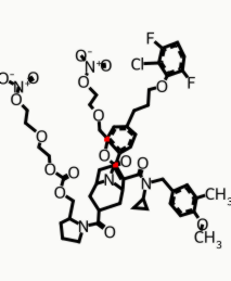 COc1ccc(CN(C(=O)C2=C(c3ccc(CCCOc4c(F)ccc(F)c4Cl)cc3)CC3CC(C(=O)N4CCCC4COC(=O)OCCOCCO[N+](=O)[O-])CC2N3C(=O)OCCOCCO[N+](=O)[O-])C2CC2)cc1C